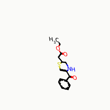 CCOC(=O)CC1CNC(C(=O)c2ccccc2)=CS1